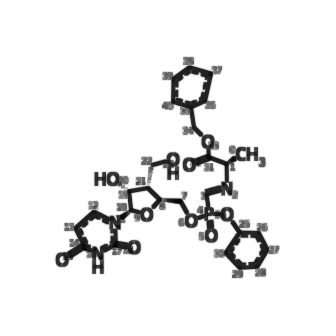 C[C@@H](/N=C/P(=O)(OC[C@H]1O[C@@H](n2ccc(=O)[nH]c2=O)[C@H](O)[C@@H]1CO)Oc1ccccc1)C(=O)OCc1ccccc1